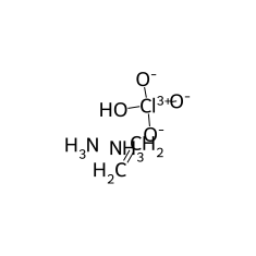 C=C.N.N.[O-][Cl+3]([O-])([O-])O